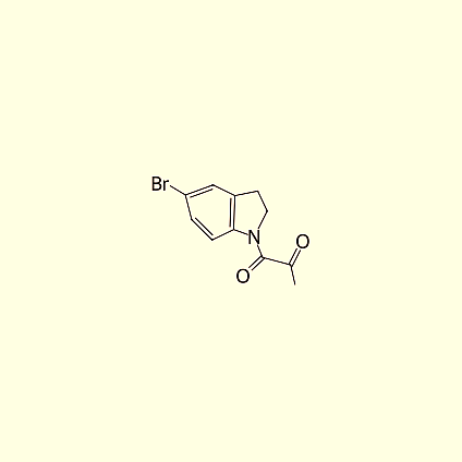 CC(=O)C(=O)N1CCc2cc(Br)ccc21